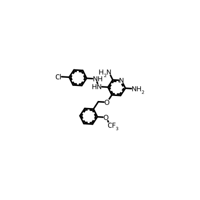 Nc1cc(OCc2ccccc2OC(F)(F)F)c(NNc2ccc(Cl)cc2)c(N)n1